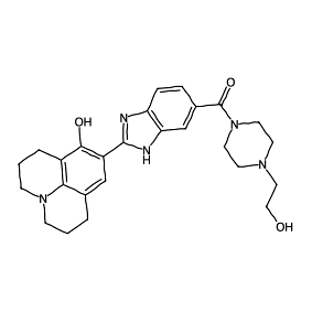 O=C(c1ccc2nc(-c3cc4c5c(c3O)CCCN5CCC4)[nH]c2c1)N1CCN(CCO)CC1